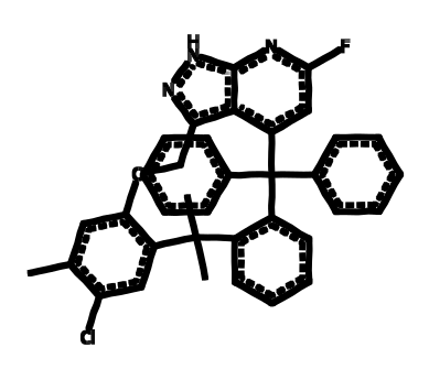 Cc1cc(OCc2n[nH]c3nc(F)cc(C(c4ccccc4)(c4ccccc4)c4ccccc4)c23)c(C(C)(C)C)cc1Cl